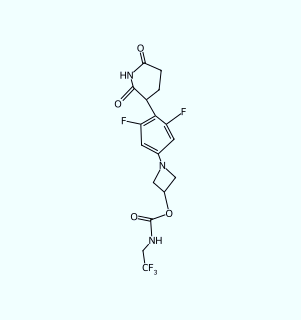 O=C1CCC(c2c(F)cc(N3CC(OC(=O)NCC(F)(F)F)C3)cc2F)C(=O)N1